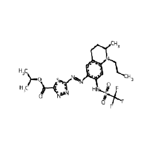 CCCN1c2cc(NS(=O)(=O)C(F)(F)F)c(N=Nc3nnc(C(=O)OC(C)C)s3)cc2CCC1C